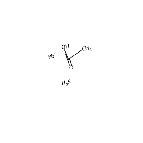 CC(=O)O.S.[Pb]